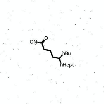 CCCCCCCC(CCCC)CCCC(=O)N=O